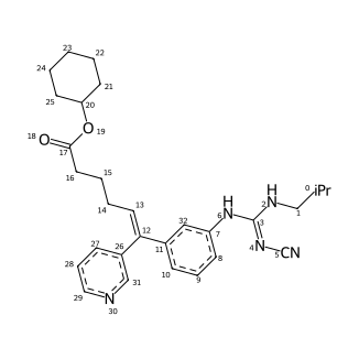 CC(C)CNC(=NC#N)Nc1cccc(C(=CCCCC(=O)OC2CCCCC2)c2cccnc2)c1